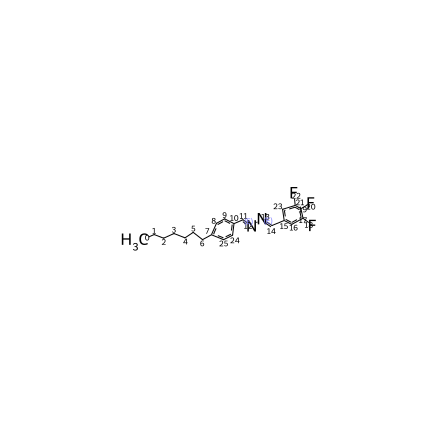 CCCCCCCc1ccc(/C=N/N=C/c2cc(F)c(F)c(F)c2)cc1